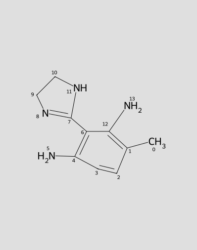 Cc1ccc(N)c(C2=NCCN2)c1N